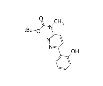 CN(C(=O)OC(C)(C)C)c1ccc(-c2ccccc2O)nn1